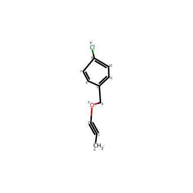 [CH2]C#COCc1ccc(Cl)cc1